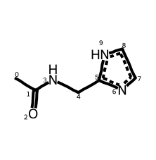 CC(=O)NCc1ncc[nH]1